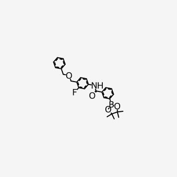 CC1(C)OB(c2cccc(C(=O)Nc3ccc(COCc4ccccc4)c(F)c3)c2)OC1(C)C